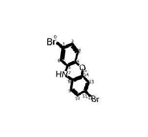 Brc1ccc2c(c1)Nc1ccc(Br)cc1O2